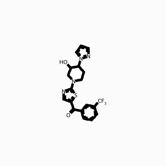 O=C(c1cccc(C(F)(F)F)c1)c1cnc(N2CCC(n3cccn3)C(O)C2)s1